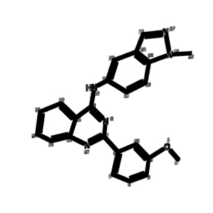 COc1cccc(-c2nc(Nc3ccc4c(cnn4C)c3)c3ccccc3n2)c1